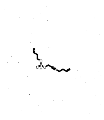 C=CCCC#CCO[PH](=O)OCCC=C